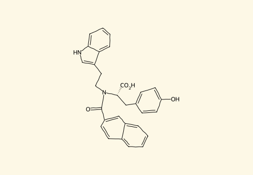 O=C(O)[C@H](Cc1ccc(O)cc1)N(CCc1c[nH]c2ccccc12)C(=O)c1ccc2ccccc2c1